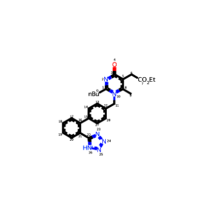 CCCCc1nc(=O)c(CC(=O)OCC)c(C)n1Cc1ccc(-c2ccccc2-c2nnn[nH]2)cc1